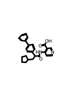 O=C(O)c1cnccc1NC(=O)C(CC1CCCC1)c1ccc(-c2ccccc2)cc1